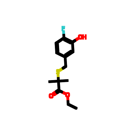 CCOC(=O)C(C)(C)SCc1ccc(F)c(O)c1